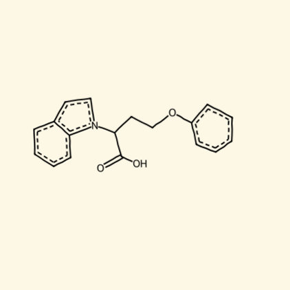 O=C(O)C(CCOc1ccccc1)n1ccc2ccccc21